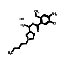 CCCCCN1CCC(C(C)OC(=O)c2cc(Cl)c(N)cc2OC)C1.Cl